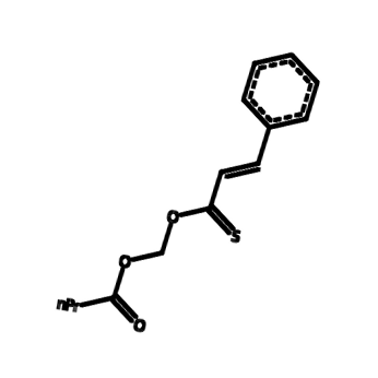 CCCC(=O)OCOC(=S)C=Cc1ccccc1